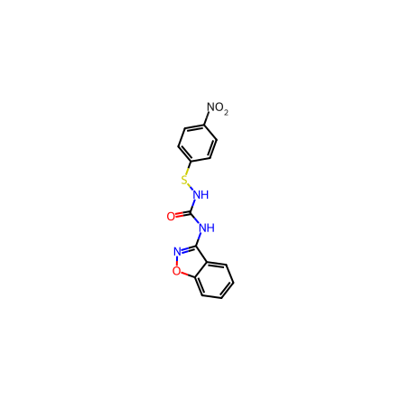 O=C(NSc1ccc([N+](=O)[O-])cc1)Nc1noc2ccccc12